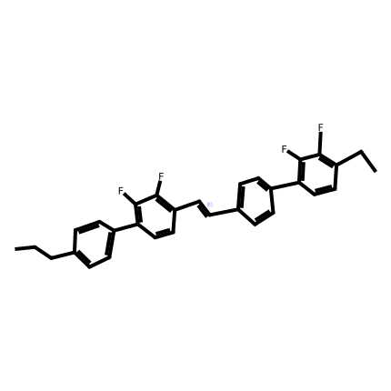 CCCc1ccc(-c2ccc(/C=C/c3ccc(-c4ccc(CC)c(F)c4F)cc3)c(F)c2F)cc1